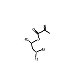 C=C(C)C(=O)OC(O)CN(CC)CC